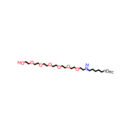 CCCCCCCCCCCCCCCNCCOCCOCCOCCOCCOCCOCCO